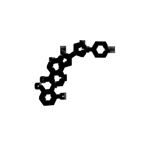 O=c1c2cnc3[nH]c(-c4cnn(C5CCNCC5)c4)cc3c2ncn1-c1c(Cl)cccc1Cl